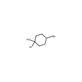 CC(=O)C1(O)CCN(C(C)(C)C)CC1